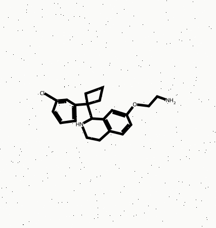 NCCOc1ccc2c(c1)C(C1(c3cccc(Cl)c3)CCC1)NCC2